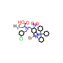 CCC(C(=O)O)N(Cc1cccc(Cl)c1)Cc1cc2c(Br)nn(C(c3ccccc3)(c3ccccc3)c3ccccc3)c2cc1[N+](=O)[O-]